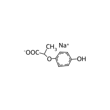 CC(Oc1ccc(O)cc1)C(=O)[O-].[Na+]